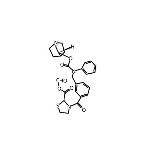 O=COC(=O)[C@@H]1SCCN1C(=O)c1cccc(CN(C(=O)O[C@H]2CN3CCC2CC3)c2ccccc2)c1